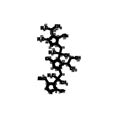 COc1cnn(C(C)C)c1C(C)(C)C[n+]1cc(Cl)c(C(C)(C)Cc2nn(C)c([SH](C)C)c2C(C)(C)C)n1C(C)CO